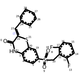 O=C1Nc2ccc(S(=O)(=O)Cc3c(F)cccc3F)cc2S/C1=C\c1ccccc1